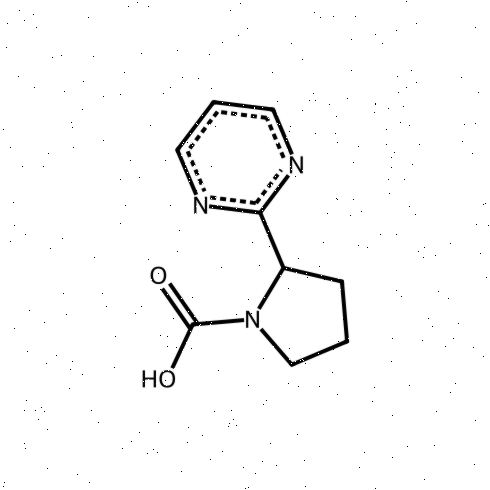 O=C(O)N1CCCC1c1ncccn1